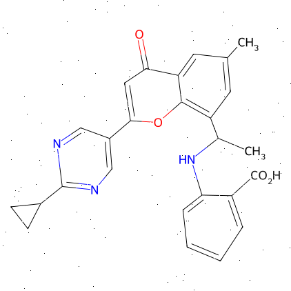 Cc1cc(C(C)Nc2ccccc2C(=O)O)c2oc(-c3cnc(C4CC4)nc3)cc(=O)c2c1